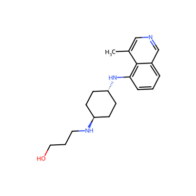 Cc1cncc2cccc(N[C@H]3CC[C@H](NCCCO)CC3)c12